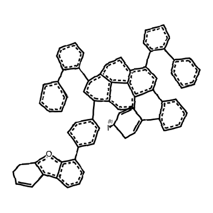 I[C@H]1C=CC(c2ccccc2-c2cc(-c3ccccc3-c3ccccc3)c3ccc4c(-c5ccccc5-c5ccccc5)cc(-c5ccc(-c6cccc7c8c(oc67)CCC=C8)cc5)c5ccc2c3c54)=CC1